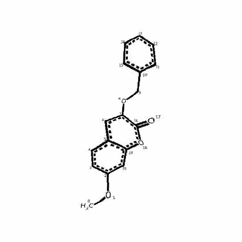 COc1ccc2cc(OCc3ccccc3)c(=O)oc2c1